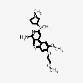 COCCOc1cc2ncc3c(N)nc(N(C)C4CCN(C)C4)cc3c2cc1OC